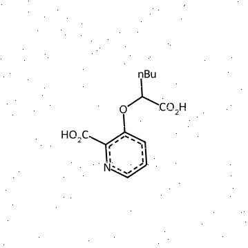 CCCCC(Oc1cccnc1C(=O)O)C(=O)O